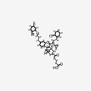 O=C(O)CCCC(=O)N1C[C@H]2CC(c3ccc(CCCOc4cc(F)ccc4Br)cc3)=C(C(=O)N(CCc3ccccc3Cl)C3CC3)[C@@H](C1)N2